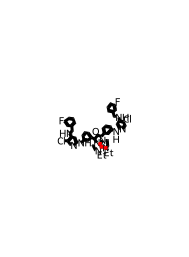 CCN1CCN(C(C(=O)C(c2cccc(Nc3cc(NCc4cccc(F)c4)c(Cl)cn3)c2)N2CCN(CC)CC2)c2cccc(Nc3cc(NCc4cccc(F)c4)c(Cl)cn3)c2)CC1